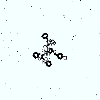 CS(=O)(=O)N[C@H](CCC1CCCCC1)C(=O)N1C[C@H](OCc2ccc(Cl)cc2)C[C@H]1C(=O)N[C@@H](Cc1ccccc1)C(=O)c1nc2ccccc2o1